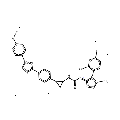 Cc1cs/c(=N\C(=O)NC2CC2c2ccc(-c3ncn(-c4ccc(OC(F)(F)F)cc4)n3)cc2)n1-c1ccc(F)cc1C(C)C